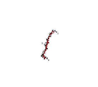 C=CC(=O)OCCCC(CC)OC(=O)CCC(=O)OCCC1CCC(OC(=O)C2CCC(C(=O)Oc3ccc(OC(=O)C4CCC(C(=O)OC5CCC(CCOC(=O)CCC(=O)OCCCC(CC)OC(=O)C=C)CC5)CC4)c(C)c3)CC2)CC1